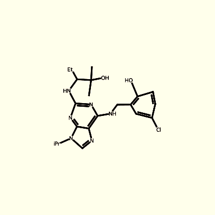 CCC(Nc1nc(NCc2cc(Cl)ccc2O)c2ncn(C(C)C)c2n1)C(C)(C)O